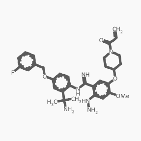 C=CC(=O)N1CCC(Oc2cc(C(=N)Nc3ccc(OCc4cccc(F)c4)cc3C(C)(C)N)c(NN)cc2OC)CC1